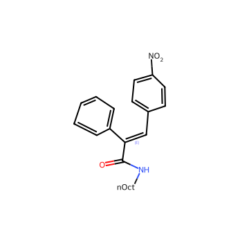 CCCCCCCCNC(=O)/C(=C/c1ccc([N+](=O)[O-])cc1)c1ccccc1